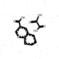 O=C(O)C(=O)O.O=C(O)c1cnc2ccccc2c1